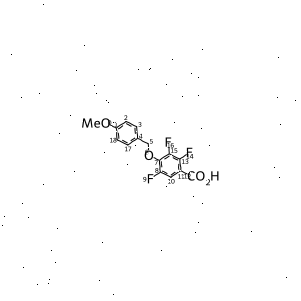 COc1ccc(COc2c(F)cc(C(=O)O)c(F)c2F)cc1